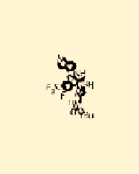 CC1=C(C(=O)Nc2ccc3cnccc3c2)C(c2ccc(C(F)(F)F)c(F)c2)n2nc(CNC(=O)OC(C)(C)C)cc2N1